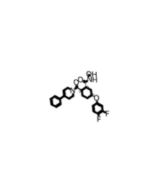 O=C(NO)[C@@H]1C[C@H](Oc2ccc(F)c(F)c2)CC[C@H]1C(=O)N1CC=C(c2ccccc2)CC1